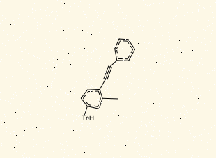 Cc1cc([TeH])ccc1C#Cc1cc[c]cc1